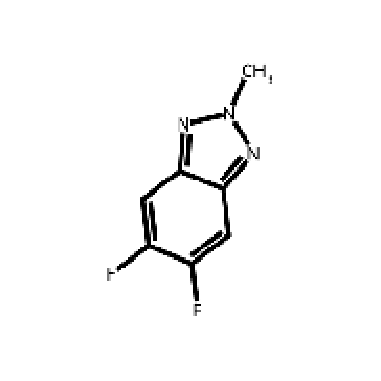 Cn1nc2cc(F)c(F)cc2n1